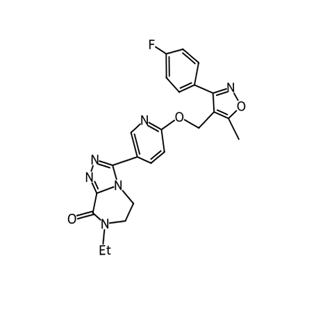 CCN1CCn2c(nnc2-c2ccc(OCc3c(-c4ccc(F)cc4)noc3C)nc2)C1=O